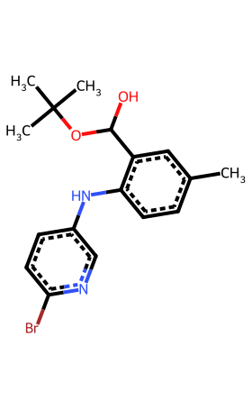 Cc1ccc(Nc2ccc(Br)nc2)c(C(O)OC(C)(C)C)c1